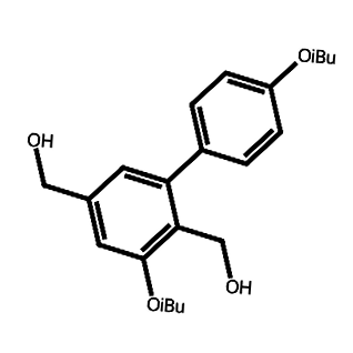 CC(C)COc1ccc(-c2cc(CO)cc(OCC(C)C)c2CO)cc1